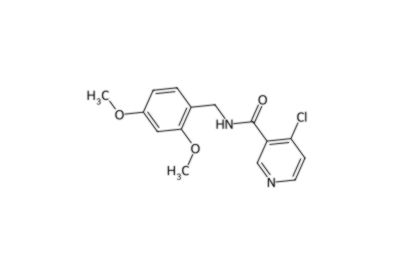 COc1ccc(CNC(=O)c2cnccc2Cl)c(OC)c1